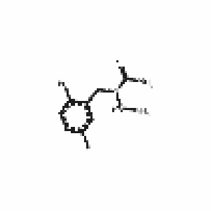 NNN(Cc1cc(F)ccc1Br)C(N)=S